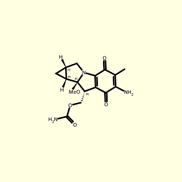 CO[C@@]12[C@@H]3C[C@@H]3CN1C1=C(C(=O)C(N)=C(C)C1=O)[C@@H]2COC(N)=O